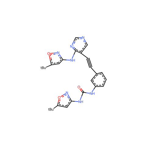 CC(C)(C)c1cc(NC(=O)Nc2cccc(C#Cc3cncnc3Nc3cc(C(C)(C)C)on3)c2)no1